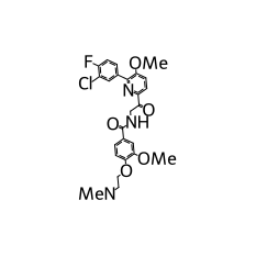 CNCCOc1ccc(C(=O)NCC(=O)c2ccc(OC)c(-c3ccc(F)c(Cl)c3)n2)cc1OC